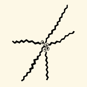 CCCCCCCCCCCCCCCCCCN(OCCCCCCCCCCCC)C(CCCCCCCCCCCCCCCCC)P(=O)(OCCCCCCCCCCCC)OCCCCCCCCCCCC